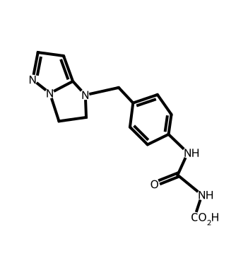 O=C(O)NC(=O)Nc1ccc(CN2CCn3nccc32)cc1